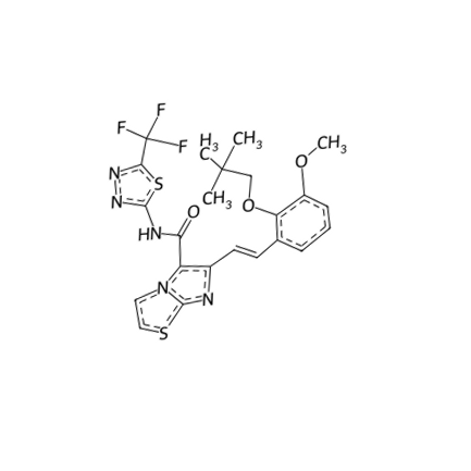 COc1cccc(C=Cc2nc3sccn3c2C(=O)Nc2nnc(C(F)(F)F)s2)c1OCC(C)(C)C